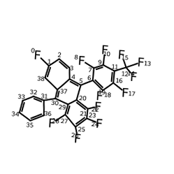 Fc1ccc2c(-c3c(F)c(F)c(C(F)(F)F)c(F)c3F)c3c(F)c(F)c(F)c(F)c3c(-c3ccccc3)c2c1